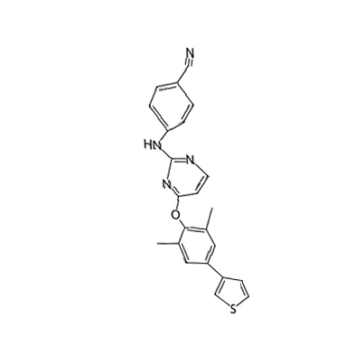 Cc1cc(-c2ccsc2)cc(C)c1Oc1ccnc(Nc2ccc(C#N)cc2)n1